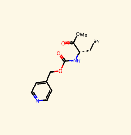 COC(=O)[C@H](CC(C)C)NC(=O)OCc1ccncc1